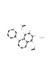 CCOc1c(C)c(OC(C)=O)c2c(-c3ccccc3)cccc2c1OC(C)=O